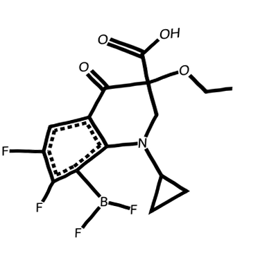 CCOC1(C(=O)O)CN(C2CC2)c2c(cc(F)c(F)c2B(F)F)C1=O